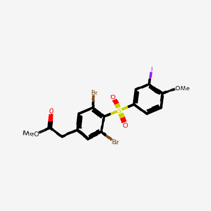 COC(=O)Cc1cc(Br)c(S(=O)(=O)c2ccc(OC)c(I)c2)c(Br)c1